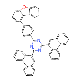 c1ccc2c(c1)cc(-c1nc(-c3ccc(-c4cccc5oc6ccccc6c45)cc3)nc(-c3cc4ccccc4c4ccccc34)n1)c1ccccc12